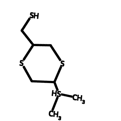 C[SH](C)C1CSC(CS)CS1